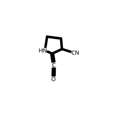 N#CC1CCNC1=C=O